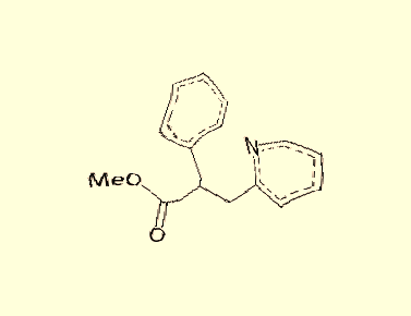 COC(=O)C(Cc1ccccn1)c1ccccc1